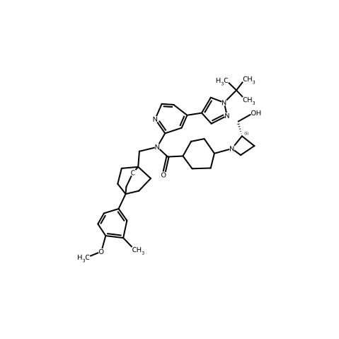 COc1ccc(C23CCC(CN(C(=O)C4CCC(N5CC[C@H]5CO)CC4)c4cc(-c5cnn(C(C)(C)C)c5)ccn4)(CC2)CC3)cc1C